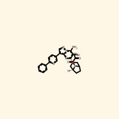 CC(=O)c1c([C@@H]2CC3CC[C@@H](C2)N3C(=O)C(N)=O)nc2c(-c3ccc(-c4ccccc4)nc3)cnn2c1N